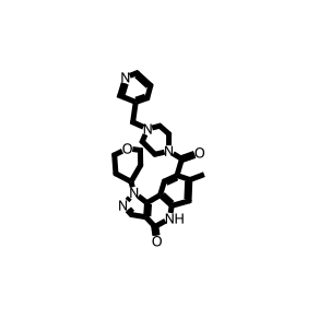 Cc1cc2[nH]c(=O)c3cnn(C4CCOCC4)c3c2cc1C(=O)N1CCN(Cc2cccnc2)CC1